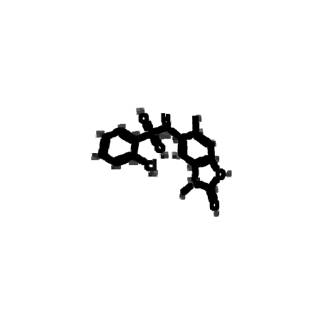 Cc1cc2oc(=O)n(C)c2cc1NS(=O)(=O)c1ccccc1Cl